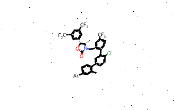 CC(=O)c1ccc(-c2ccc(Cl)c(-c3ccc(C(F)(F)F)cc3CN3C(=O)O[C@H](c4cc(C(F)(F)F)cc(C(F)(F)F)c4)[C@@H]3C)c2)c(C)c1